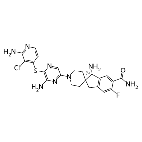 NC(=O)c1cc2c(cc1F)CC1(CCN(c3cnc(Sc4ccnc(N)c4Cl)c(N)n3)CC1)[C@@H]2N